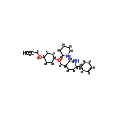 O=C(O)COC1CCC(OCC2CCC([C@@H]3CC=CCC3)NC2N2CCCCC2)CC1